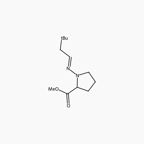 COC(=O)C1CCCN1N=CCC(C)(C)C